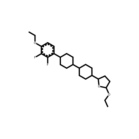 CCOc1ccc(C2CCC(C3CCC(C4CCC(OCC)O4)CC3)CC2)c(F)c1F